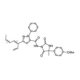 C=C/C(=C\C=C/C)c1cc(C(=O)NN2C(=O)NC(C)(c3ccc(OC)cc3)C2=O)n(-c2ccccc2)n1